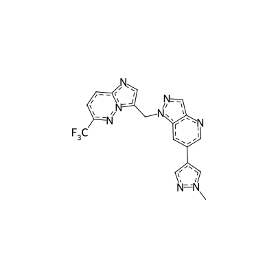 Cn1cc(-c2cnc3cnn(Cc4cnc5ccc(C(F)(F)F)nn45)c3c2)cn1